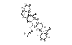 CCCCc1nc(CC)n(-c2ccccc2)c(=O)c1Cc1ccc(-c2ccccc2C#N)cc1